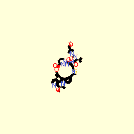 CCn1c(-c2cccnc2[C@H](C)OC)c2c3cc(ccc31)-c1csc(n1)C[C@H](NC(=O)[C@H](C(C)C)N(C)C(=O)N1CC(COC)C1)C(=O)N1CCC[C@](C=O)(COCC(C)(C)C2)N1